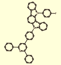 Fc1ccc(-n2c3ccccc3c3ccc4c(c5ccccc5n4-c4ccc(-c5cc(-c6ccccc6)nc(-c6ccccc6)c5)cc4)c32)cc1